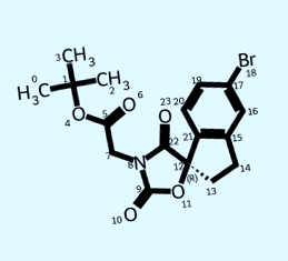 CC(C)(C)OC(=O)CN1C(=O)O[C@@]2(CCc3cc(Br)ccc32)C1=O